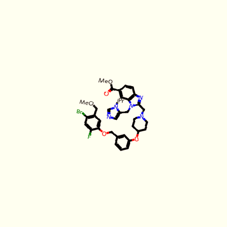 COCc1cc(OCc2cccc(OC3CCN(Cc4nc5ccc(C(=O)OC)cc5n4Cc4cncn4C(C)C)CC3)c2)c(F)cc1Br